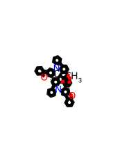 Cc1ccc2c3ccccc3n(-c3ccc4oc5ccccc5c4c3)c2c1C(C)(c1ccccc1)c1ccc2c3ccccc3n(-c3ccc4oc5ccccc5c4c3)c2c1-c1ccccc1